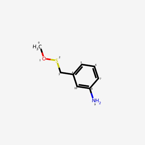 COSCc1cccc(N)c1